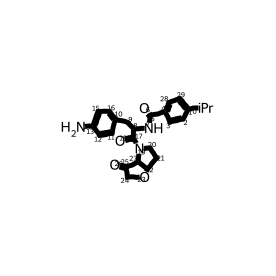 CC(C)c1ccc(C(=O)NC(Cc2ccc(N)cc2)C(=O)N2CCC3OCC(=O)C32)cc1